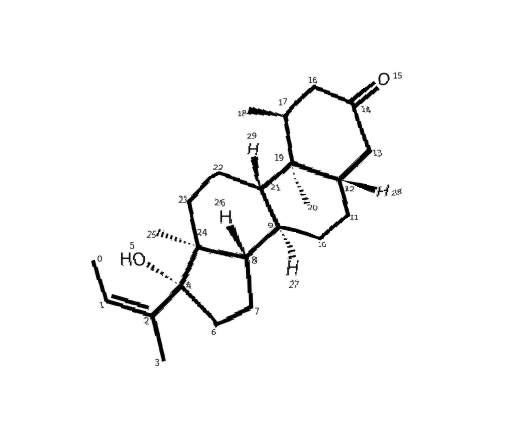 C/C=C(/C)[C@]1(O)CC[C@H]2[C@@H]3CC[C@H]4CC(=O)C[C@H](C)[C@]4(C)[C@H]3CC[C@@]21C